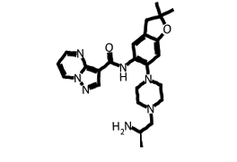 C[C@@H](N)CN1CCN(c2cc3c(cc2NC(=O)c2cnn4cccnc24)CC(C)(C)O3)CC1